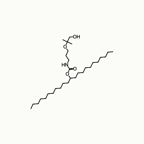 CCCCCCCCCCCC(CCCCCCCCCCC)OC(=O)NCCCOC(C)(C)CO